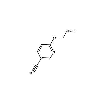 C#Cc1ccc(OCCCCCC)nc1